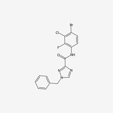 O=C(Nc1ccc(Br)c(Cl)c1F)c1ncn(Cc2ccccc2)n1